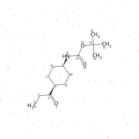 CCC(=O)[C@H]1CC[C@@H](NC(=O)OC(C)(C)C)CC1